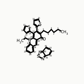 CCCCCCc1c(-c2cccs2)c(-c2cccs2)c2n(CC)c3ccccc3cc-2c1=O.c1ccc2nsnc2c1